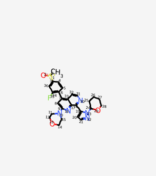 C[S+]([O-])c1ccc(-c2cc(N3CCOCC3)nc3c(-c4ccnn4C4CCCCO4)nccc23)c(F)c1